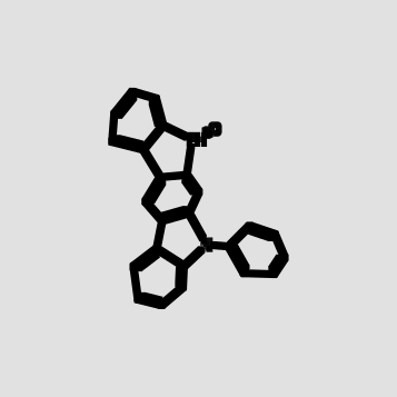 O=[PH]1c2ccccc2-c2cc3c4ccccc4n(-c4ccccc4)c3cc21